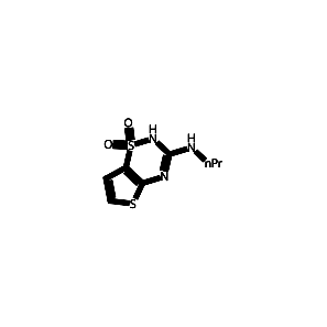 CCCNC1=Nc2sccc2S(=O)(=O)N1